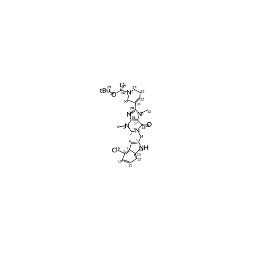 CN1CN(Cc2cc3c(Cl)cccc3[nH]2)C(=O)c2c1nc(C1=CCCN(C(=O)OC(C)(C)C)C1)n2C